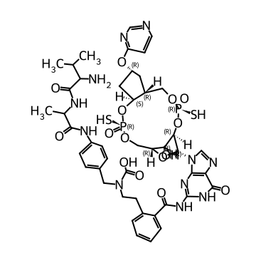 CC(NC(=O)C(N)C(C)C)C(=O)Nc1ccc(CN(CCc2ccccc2C(=O)Nc2nc3c(ncn3[C@@H]3O[C@@H]4CO[P@@](=O)(S)O[C@H]5C[C@H](Oc6ccncn6)C[C@@H]5CO[P@@](=O)(S)O[C@@H]3[C@@H]4O)c(=O)[nH]2)C(=O)O)cc1